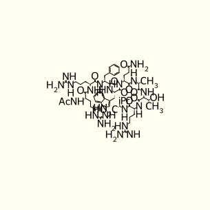 CC(=O)N[C@@H](CCCNC(=N)N)C(=O)N[C@@H](CCCNC(=N)N)C(=O)N[C@@H](Cc1ccccc1)C(=O)N[C@@H](Cc1c[nH]c2ccccc12)C(=O)N[C@@H](CCC(N)=O)C(=O)N[C@@H](C)C(=O)N[C@H](C(=O)N[C@@H](CCCNC(=N)N)C(=O)N[C@H](C(=O)O)C(C)C)[C@@H](C)O